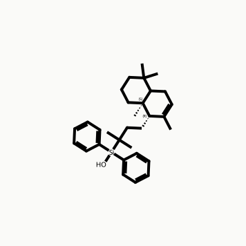 CC1=CCC2C(C)(C)CCC[C@]2(C)[C@H]1CCC(C)(C)[Si](O)(c1ccccc1)c1ccccc1